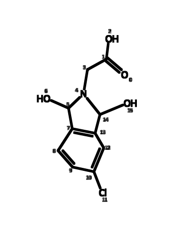 O=C(O)CN1C(O)c2ccc(Cl)cc2C1O